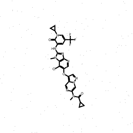 CN(C(=O)C1CC1)c1cn2ncc(Oc3cnc4nc(Nc5cc(C(F)(F)F)cn(C6CC6)c5=O)n(C)c4c3Cl)c2cn1